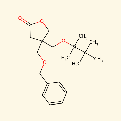 CC(C)(C)[Si](C)(C)OCC1(COCc2ccccc2)COC(=O)C1